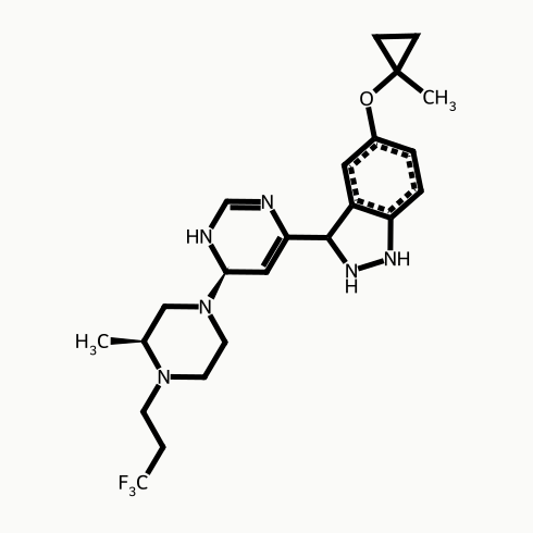 C[C@H]1CN([C@@H]2C=C(C3NNc4ccc(OC5(C)CC5)cc43)N=CN2)CCN1CCC(F)(F)F